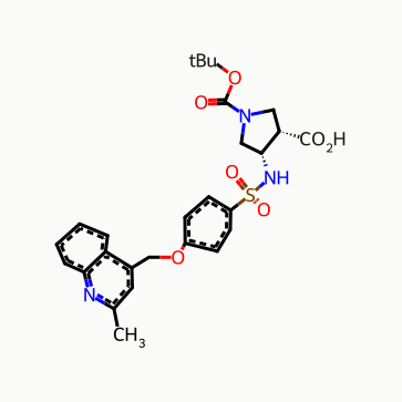 Cc1cc(COc2ccc(S(=O)(=O)N[C@@H]3CN(C(=O)OC(C)(C)C)C[C@@H]3C(=O)O)cc2)c2ccccc2n1